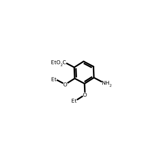 CCOC(=O)c1ccc(N)c(OCC)c1OCC